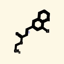 CCOC(=O)/C=C/c1cc(Cl)c2ncccc2c1